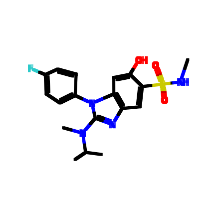 CNS(=O)(=O)c1cc2nc(N(C)C(C)C)n(-c3ccc(F)cc3)c2cc1O